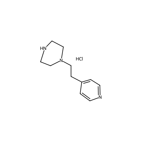 Cl.c1cc(CCN2CCNCC2)ccn1